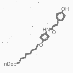 CCCCCCCCCCCCCCCCCCOc1ccc(NC(=O)/C=C/c2ccc(O)cc2)cc1